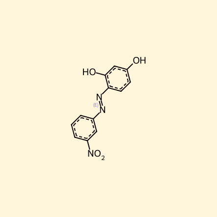 O=[N+]([O-])c1cccc(/N=N/c2ccc(O)cc2O)c1